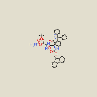 CC(C)(C)OCC(OC(N)=O)c1noc(C(CC(=O)NC(c2ccccc2)(c2ccccc2)c2ccccc2)NC(=O)OCC2c3ccccc3-c3ccccc32)n1